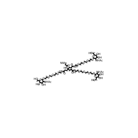 CNCC(=O)NC(CCC(=O)NCCOCCOCCOCCOC1OC(CO)C(O)C(O)C1NC(C)=O)(CCC(=O)NCCOCCOCCOCCOC1OC(CO)C(O)C(O)C1NC(C)=O)CCC(=O)NCCOCCOCCOCCOC1OC(CO)C(O)C(O)C1NC(C)=O